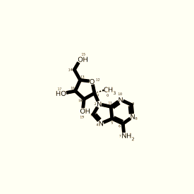 C[C@@]1(n2cnc3c(N)ncnc32)OC(CO)C(O)C1O